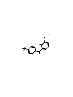 COc1cccc(C(=O)c2ccc(C(C)(C)C)cc2)c1O